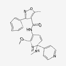 CNC1(c2ccncc2)C=CC(NC(=O)c2c(-c3ccccc3)noc2C)=C(OC)N1